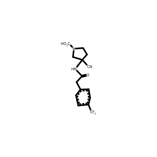 N#CC1(NC(=O)Cc2ccc(C(F)(F)F)cc2)CCN(C(=O)O)C1